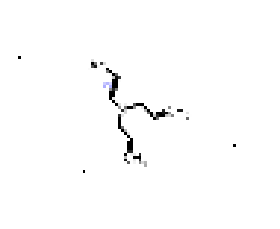 C=CCN(/C=[C]/C(C)=O)CC=C